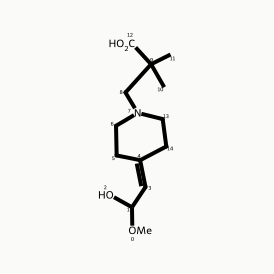 COC(O)C=C1CCN(CC(C)(C)C(=O)O)CC1